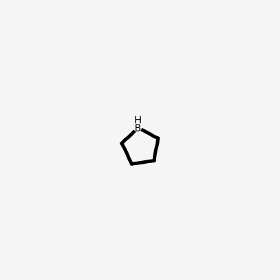 B1CCCC1